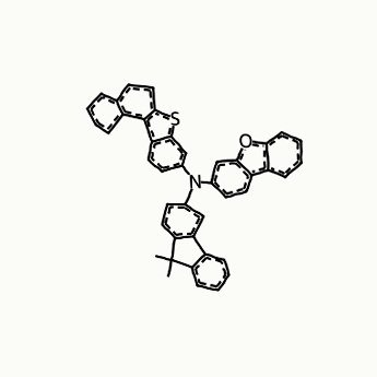 CC1(C)c2ccccc2-c2cc(N(c3ccc4c(c3)oc3ccccc34)c3ccc4c(c3)sc3ccc5ccccc5c34)ccc21